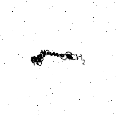 C=CC(=O)OCCCCCCCCOc1cc2oc(=O)c(-c3ccccn3)cc2cn1